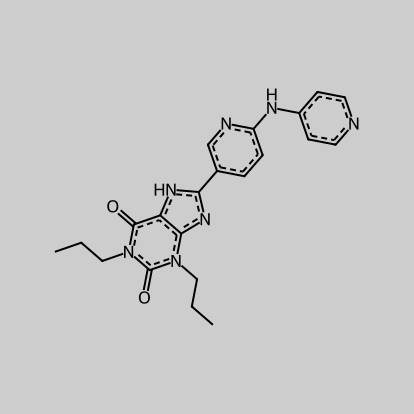 CCCn1c(=O)c2[nH]c(-c3ccc(Nc4ccncc4)nc3)nc2n(CCC)c1=O